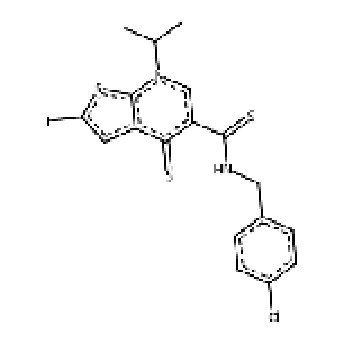 CC(C)n1cc(C(=S)NCc2ccc(Cl)cc2)c(=S)c2cc(I)sc21